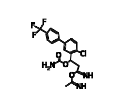 CC(=N)OC(=N)CC(OC(N)=O)c1cc(-c2ccc(C(F)(F)F)cc2)ccc1Cl